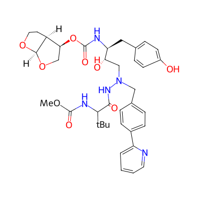 COC(=O)NC(C(=O)NN(Cc1ccc(-c2ccccn2)cc1)C[C@H](O)[C@H](Cc1ccc(O)cc1)NC(=O)O[C@H]1CO[C@H]2OCC[C@H]21)C(C)(C)C